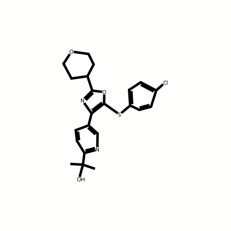 CC(C)(O)c1ccc(-c2nc(C3CCOCC3)oc2Sc2ccc(Cl)cc2)cn1